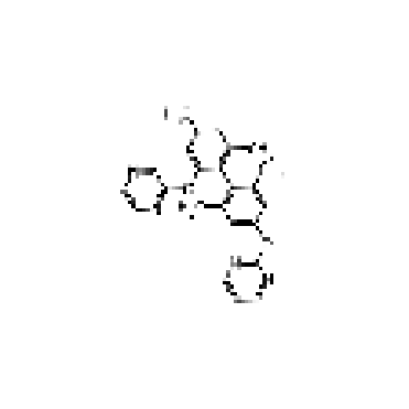 Cc1[c]c(C)c(-c2c(C)cc(Oc3ncccn3)cc2C)c(Oc2cnccn2)c1